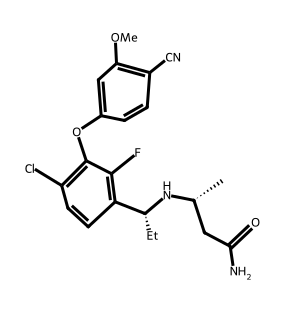 CC[C@@H](N[C@H](C)CC(N)=O)c1ccc(Cl)c(Oc2ccc(C#N)c(OC)c2)c1F